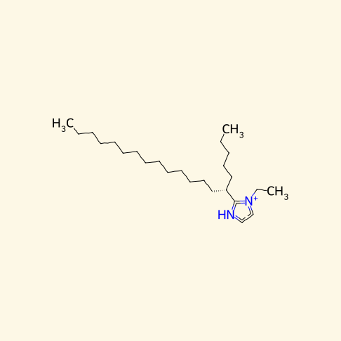 CCCCCCCCCCCCCC[C@H](CCCCC)c1[nH]cc[n+]1CC